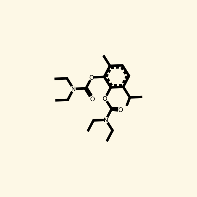 CCN(CC)C(=O)Oc1c(C)ccc(C(C)C)c1OC(=O)N(CC)CC